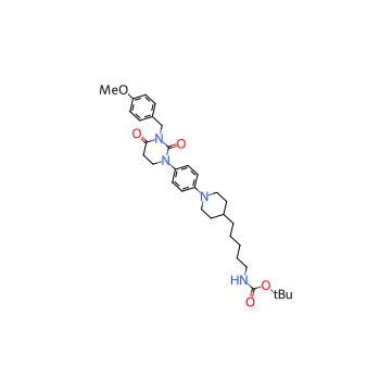 COc1ccc(CN2C(=O)CCN(c3ccc(N4CCC(CCCCCNC(=O)OC(C)(C)C)CC4)cc3)C2=O)cc1